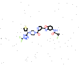 O=C(Nc1ccc2oc(-c3ccnc(C(=O)N4CCN([C@@H](c5ccsc5)c5nnn(C(F)F)n5)CC4)c3)nc2c1)C1C[C@@H]1F